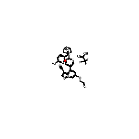 COc1ccc(CN2C3CC2CN(c2ccc(-c4cc(OCCCl)cn5ncc(C#N)c45)cn2)C3)cn1.O=C(O)C(F)(F)F